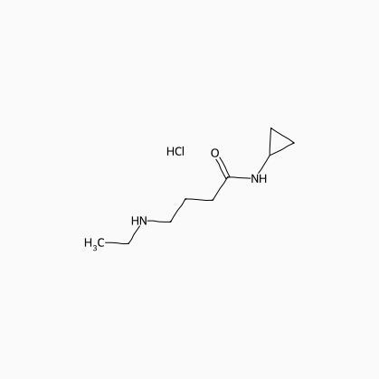 CCNCCCC(=O)NC1CC1.Cl